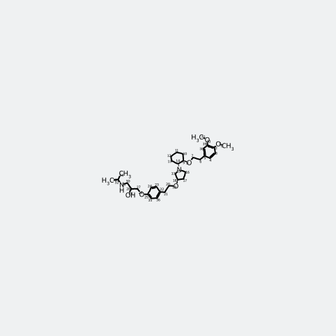 COc1ccc(CCO[C@@H]2CCCC[C@H]2N2CC[C@@H](OCCc3ccc(OCC(O)CNC(C)C)cc3)C2)cc1OC